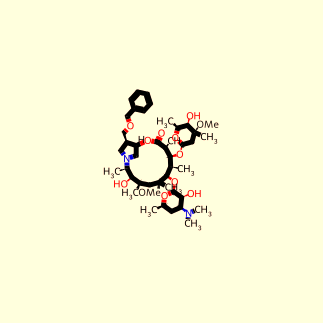 CO[C@]1(C)C[C@H](O[C@H]2[C@H](C)[C@@H](O[C@@H]3O[C@H](C)C[C@H](N(C)C)[C@H]3O)[C@@](C)(OC)C[C@@H](C)[C@H](O)[C@H](C)N3C[C@@H](COCc4ccccc4)[C@H](C3)OC(=O)[C@@H]2C)O[C@@H](C)[C@@H]1O